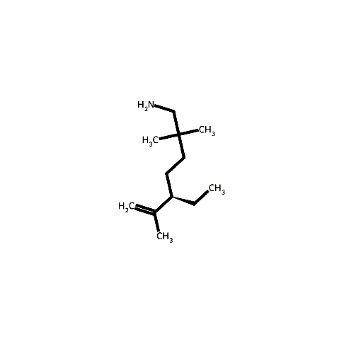 C=C(C)[C@H](CC)CCC(C)(C)CN